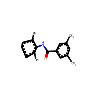 CC(C)c1cccc(C(C)C)c1NC(=O)c1cc(C(F)(F)F)cc(C(F)(F)F)c1